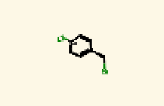 Cl[C@H]1C=CC(CBr)=CC1